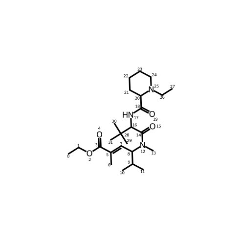 CCOC(=O)/C(C)=C/C(C(C)C)N(C)C(=O)C(NC(=O)C1CCCCN1CC)C(C)(C)C